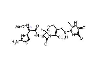 CO/N=C(/C(=O)N[C@H]1C(=O)N2C(C(=O)O)=C(CSc3nc(=O)c(=O)[nH]n3C)CS[C@@H]12)c1csc(N)n1